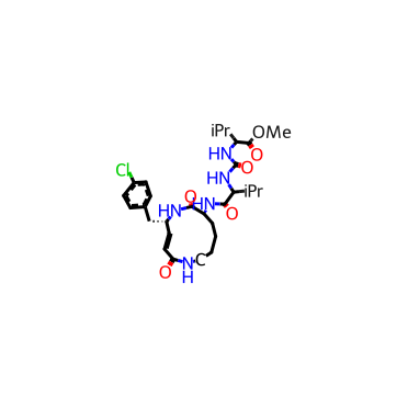 COC(=O)C(NC(=O)NC(C(=O)N[C@H]1CCCCNC(=O)/C=C/[C@H](Cc2ccc(Cl)cc2)NC1=O)C(C)C)C(C)C